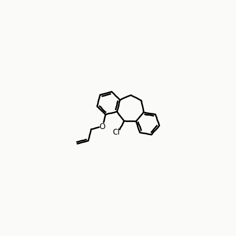 C=CCOc1cccc2c1C(Cl)c1ccccc1CC2